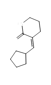 O=C1NCCCC1=CC1CCCC1